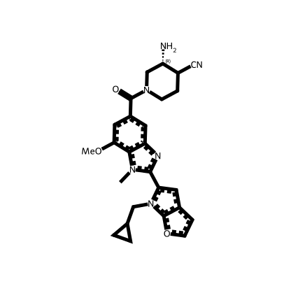 COc1cc(C(=O)N2CCC(C#N)[C@@H](N)C2)cc2nc(-c3cc4ccoc4n3CC3CC3)n(C)c12